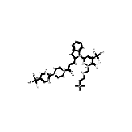 C[Si](C)(C)CCOCn1nc(N2c3ccccc3CC2CCC(=O)N2CCN(c3ncc(C(F)(F)F)cn3)CC2)cc(C(F)(F)F)c1=O